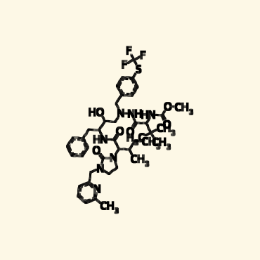 CCC(C)C(C(=O)NC(Cc1ccccc1)C(O)CN(Cc1ccc(SC(F)(F)F)cc1)NC(=O)C(NC(=O)OC)C(C)(C)C)N1CCN(Cc2cccc(C)n2)C1=O